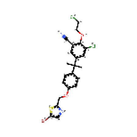 CC(C)(c1ccc(OCc2ncc(Br)s2)cc1)c1cc(Cl)c(OCCCl)c(C#N)c1